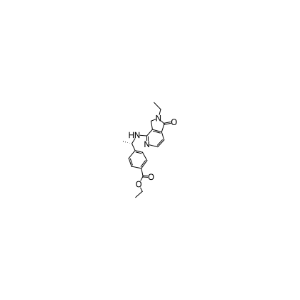 CCOC(=O)c1ccc([C@H](C)Nc2nccc3c2CN(CC)C3=O)cc1